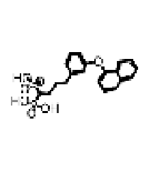 O=P(O)(O)C(CCCc1cccc(Oc2cccc3ccccc23)c1)S(=O)(=O)O